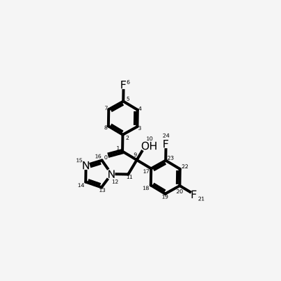 C=C(c1ccc(F)cc1)C(O)(Cn1ccnc1)c1ccc(F)cc1F